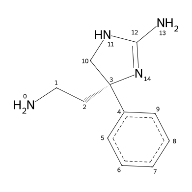 NCC[C@]1(c2ccccc2)CNC(N)=N1